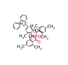 Cc1cc(C)c(C(=O)P(=O)(C(=O)c2c(C)cc(C)cc2C)C(=O)c2c(C)cc(C)cc2C)c(C)c1.c1ccc(-c2ccccc2)cc1